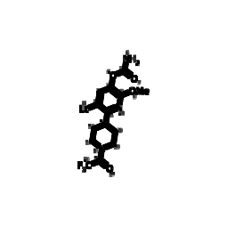 CCc1cc(OC(N)=O)c(OC)nc1C1CCN(C(=O)C(F)(F)F)CC1